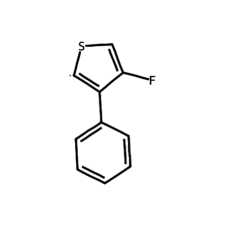 Fc1cs[c]c1-c1ccccc1